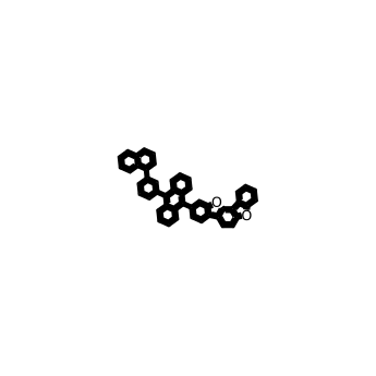 c1cc(-c2cccc3ccccc23)cc(-c2c3ccccc3c(-c3ccc4c(c3)oc3c4ccc4oc5ccccc5c43)c3ccccc23)c1